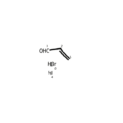 Br.C=CC=O.I